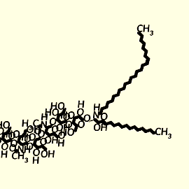 CCCCCCCC/C=C\CCCCCCCCCCCCCCCC(=O)N[C@@H](CO[C@@H]1OC(CO)[C@@H](O[C@@H]2OC(CO)[C@H](O)[C@H](O[C@@H]3OC(CO)[C@@H](O)[C@H](O[C@@H]4OC(CO)[C@H](O)[C@H](O[C@@H]5OC(CO)[C@@H](O)[C@H](O[C@@H]6OC(CO)[C@H](O)[C@H](O)C6O)C5NC(C)=O)C4O)C3NC(C)=O)C2O)[C@H](O)C1O)[C@H](O)/C=C/CCCCCCCCCCCCC